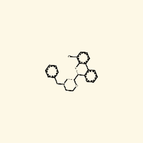 Clc1cccc2c1S[C@@H]([C@H]1CN(Cc3ccccc3)CCO1)c1ccccc1-2